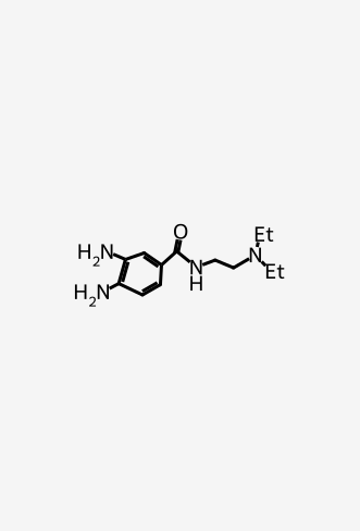 CCN(CC)CCNC(=O)c1ccc(N)c(N)c1